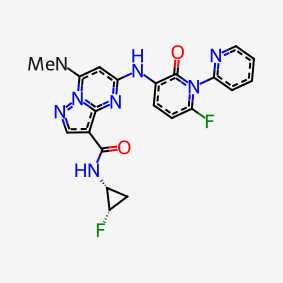 CNc1cc(Nc2ccc(F)n(-c3ccccn3)c2=O)nc2c(C(=O)N[C@@H]3C[C@@H]3F)cnn12